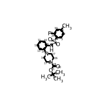 Cc1ccc(S(=O)(=O)Nc2ccccc2N2CCN(C(=O)OC(C)(C)C)CC2)c(F)c1